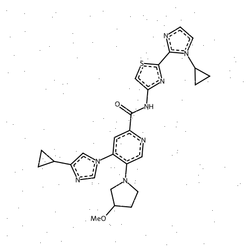 COC1CCN(c2cnc(C(=O)Nc3csc(-c4nccn4C4CC4)n3)cc2-n2cnc(C3CC3)c2)C1